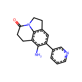 Nc1c(-c2cccnc2)cc2c3c1CCC(=O)N3CC2